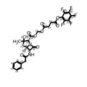 CC1(C)S[C@@H]2[C@H](NC(=O)Cc3ccccc3)C(=O)N2[C@H]1C(=O)OCOC(=O)CCC(=O)Oc1c(F)c(F)c(F)c(F)c1F